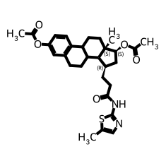 CC(=O)Oc1ccc2c(c1)CCC1C2CC[C@@]2(C)C1[C@H](CCC(=O)Nc1ncc(C)s1)C[C@@H]2OC(C)=O